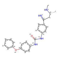 CN[C@H](C)CC(=N)c1ccc(NC(=O)Nc2ccc(Oc3ccccc3)cc2)cc1